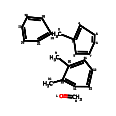 C=O.Cc1ccccc1.Cc1ccccc1C.c1ccccc1